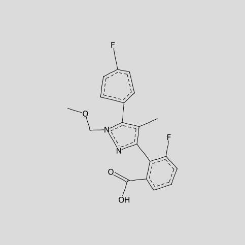 COCn1nc(-c2c(F)cccc2C(=O)O)c(C)c1-c1ccc(F)cc1